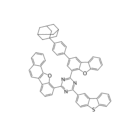 c1ccc2c(c1)ccc1c3cccc(-c4nc(-c5ccc6sc7ccccc7c6c5)nc(-c5cc(-c6ccc(C78CC9CC(CC(C9)C7)C8)cc6)cc6c5oc5ccccc56)n4)c3oc21